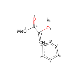 C=C(OCC)C(=O)OC.c1ccccc1